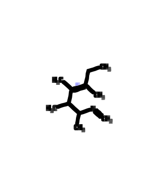 C=NC(C)C(C)/C(C)=C(\C)CC